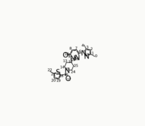 Cc1cc(C)n(-c2ccc(=O)n(C3CCN(C(=O)c4ccc(C)s4)CC3)n2)n1